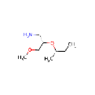 CC[C@H](C)O[C@@H](CN)COC